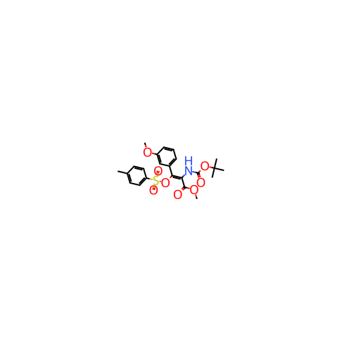 COC(=O)/C(NC(=O)OC(C)(C)C)=C(\OS(=O)(=O)c1ccc(C)cc1)c1cccc(OC)c1